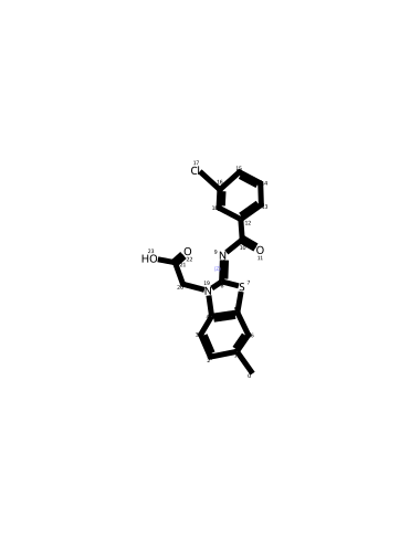 Cc1ccc2c(c1)s/c(=N\C(=O)c1cccc(Cl)c1)n2CC(=O)O